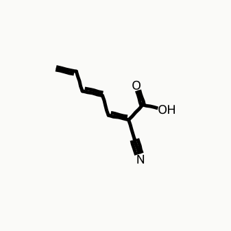 C=CC=CC=C(C#N)C(=O)O